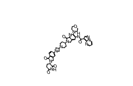 O=C1CCC(N2Cc3cc(N4CC(N5CCC(N6Cc7cc(NC(=O)c8cnn9cccnc89)c(N8CCOCC8)nc7C6=O)CC5)C4)ccc3C2=O)C(=O)N1